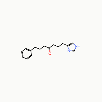 O=C(CCCc1ccccc1)CCCc1c[nH]cn1